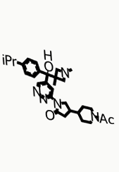 CC(=O)N1CCC(C2CC(=O)N(c3cc([C@@](O)(c4ccc(C(C)C)cc4)C4(C)CN(C)C4)cnn3)C2)CC1